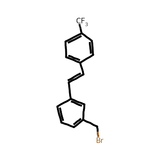 FC(F)(F)c1ccc(C=Cc2cccc(CBr)c2)cc1